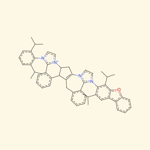 CC(C)c1cccc(C(C)C)c1-n1cc[n+]2c1-c1ccccc1C1C3=C(CC12)[n+]1ccn(-c2c(C(C)C)cc4c(oc5ccccc54)c2C(C)C)c1-c1ccccc1C3